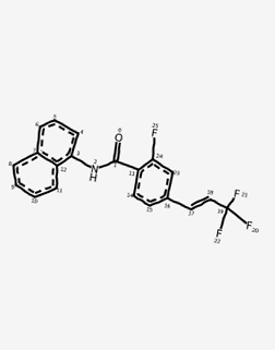 O=C(Nc1cccc2ccccc12)c1ccc(/C=C/C(F)(F)F)cc1F